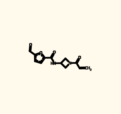 C=CC(=O)N1CC(NC(=O)c2ccc(C=O)o2)C1